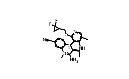 COc1cc(C#N)ccc1[C@@H]1C(C(N)=O)=C(C)Nc2c(C)cnc(OCC3CC3(F)F)c21